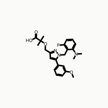 COc1cccc(-c2cc(COC(C)(C)C(=O)O)nn2Cc2c(F)cccc2N(C)C)c1